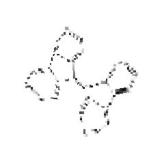 c1ccc2c(c1)C(=C1c3ccccc3-c3ccccc31)c1ccccc1-2